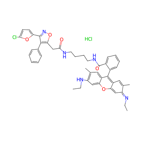 CCN=c1cc2oc3cc(NCC)c(C)cc3c(-c3ccccc3C(=O)NCCCCNC(=O)Cc3onc(-c4ccc(Cl)o4)c3-c3ccccc3)c-2cc1C.Cl